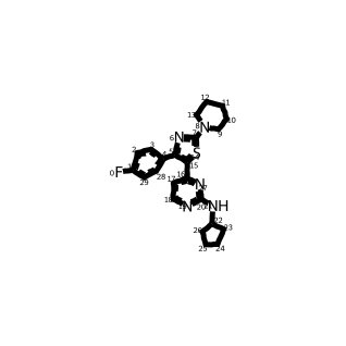 Fc1ccc(-c2nc(N3CCCCC3)sc2-c2ccnc(NC3CCCC3)n2)cc1